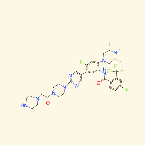 C[C@@H]1CN(c2cc(F)c(-c3cnc(N4CCN(C(=O)CN5CCNCC5)CC4)nc3)cc2NC(=O)c2ccc(F)cc2C(F)(F)F)C[C@H](C)N1C